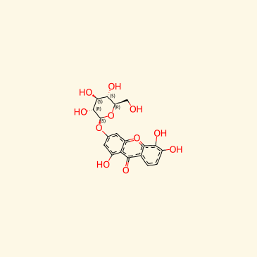 O=c1c2ccc(O)c(O)c2oc2cc(O[C@@H]3O[C@H](CO)[C@@H](O)[C@H](O)[C@H]3O)cc(O)c12